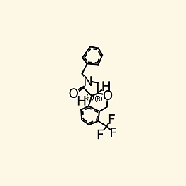 O=C1[C@@H]2c3cccc(C(F)(F)F)c3CO[C@H]2CN1Cc1ccccc1